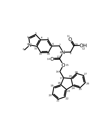 Cn1ccc2cc(CN(CC(=O)O)C(=O)OCC3c4ccccc4-c4ccccc43)ccc21